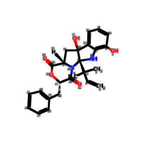 C=CC(C)(C)[C@]12Nc3c(O)cccc3[C@@]1(O)C[C@H]1C(=O)O[C@@H](Cc3ccccc3)C(=O)N12